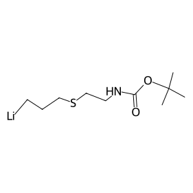 [Li][CH2]CCSCCNC(=O)OC(C)(C)C